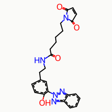 O=C(CCCCCN1C(=O)C=CC1=O)NCCc1ccc(O)c(-n2nc3ccccc3n2)c1